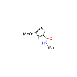 COc1cccc(C(=O)NC(C)(C)C)c1F